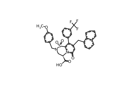 COc1ccc(CN2C[C@H](C(=O)O)n3c(c(-c4cccc(C(F)(F)F)c4)c(Cc4cccc5ccccc45)cc3=O)S2(=O)=O)cc1